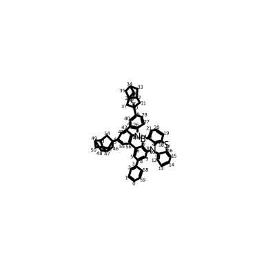 c1ccc(-c2cc3c4c(c2)N2c5ccccc5Sc5cccc(c52)B4n2c4ccc(C56CC7CC8CC7(C5)C8C6)cc4c4cc(C56CC7CC8CC7(C5)C8C6)cc-3c42)cc1